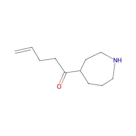 C=CCCC(=O)C1CCCNCC1